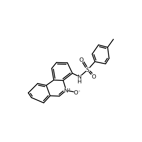 Cc1ccc(S(=O)(=O)Nc2cccc3c4ccccc4c[n+]([O-])c23)cc1